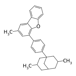 Cc1cc(-c2ccc(C34CC(C)CC(CC(C)C3)C4)cc2)c2oc3ccccc3c2c1